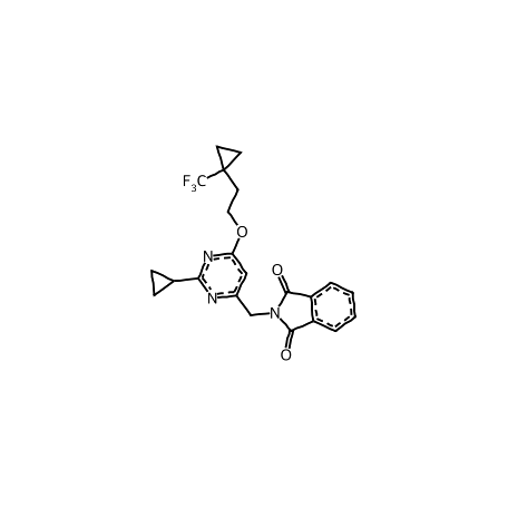 O=C1c2ccccc2C(=O)N1Cc1cc(OCCC2(C(F)(F)F)CC2)nc(C2CC2)n1